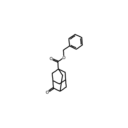 O=C1C2CC3CC1CC(C(=O)OCc1ccccc1)(C3)C2